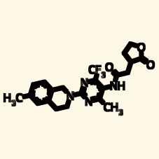 Cc1ccc2c(c1)CCN(c1nc(C)c(NC(=O)CC3CCOC3=O)c(C(F)(F)F)n1)C2